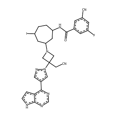 N#CCC1(n2cc(-c3ncnc4[nH]ccc34)cn2)CN(C2CC(I)CCC(NC(=O)c3cc(F)cc(C#N)c3)C2)C1